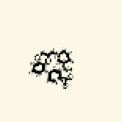 O=[N+]([O-])c1ncccc1NC1CCCN(CC2COc3ccccc3O2)C1